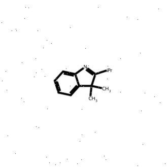 CC(C)C1=Nc2ccccc2C1(C)C